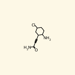 NC(=O)C#CC1CC(Cl)CCC1N